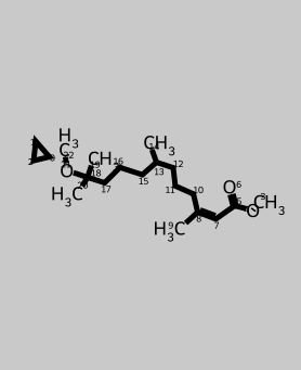 C1CC1.COC(=O)C=C(C)CCCC(C)CCCC(C)(C)OC